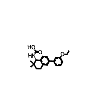 CCOc1cccc(-c2ccc3c(c2)CCC(C)(C)[C@@H]3NC(=O)O)c1